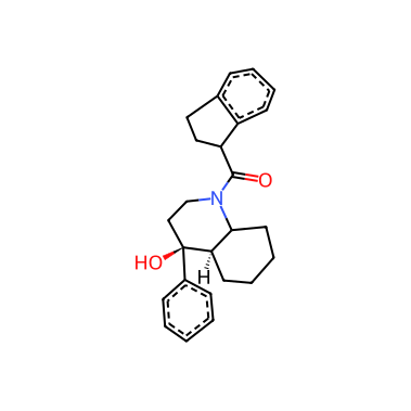 O=C(C1CCc2ccccc21)N1CC[C@@](O)(c2ccccc2)[C@@H]2CCCCC21